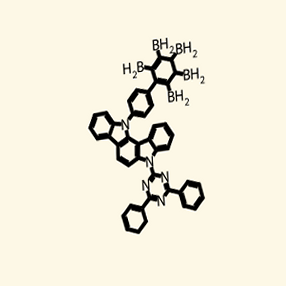 BC1=C(B)C(B)C(B)C(B)=C1c1ccc(-n2c3ccccc3c3ccc4c(c5ccccc5n4-c4nc(C5=CC=CCC5)nc(-c5ccccc5)n4)c32)cc1